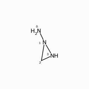 NN1CN1